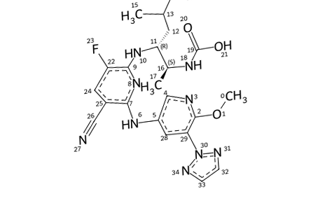 COc1ncc(Nc2nc(N[C@H](CC(C)C)[C@H](C)NC(=O)O)c(F)cc2C#N)cc1-n1nccn1